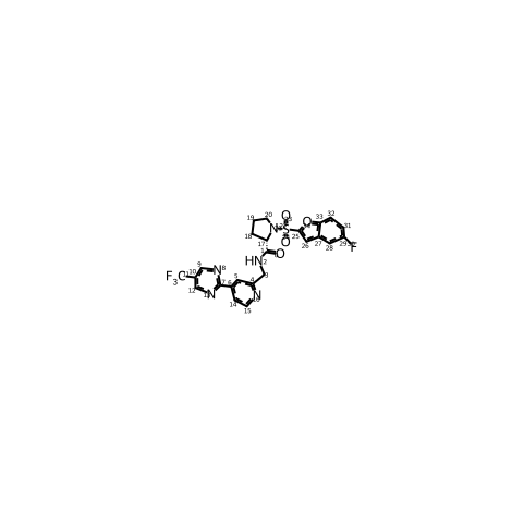 O=C(NCc1cc(-c2ncc(C(F)(F)F)cn2)ccn1)[C@@H]1CCCN1S(=O)(=O)c1cc2cc(F)ccc2o1